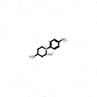 Cl.NC1CCN(c2ccc([N+](=O)[O-])cc2)CC1